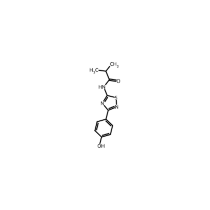 CC(C)C(=O)Nc1nc(-c2ccc(O)cc2)ns1